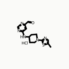 Cc1cnc(N2CCC(Nc3cc(C=O)ncn3)CC2)s1.Cl